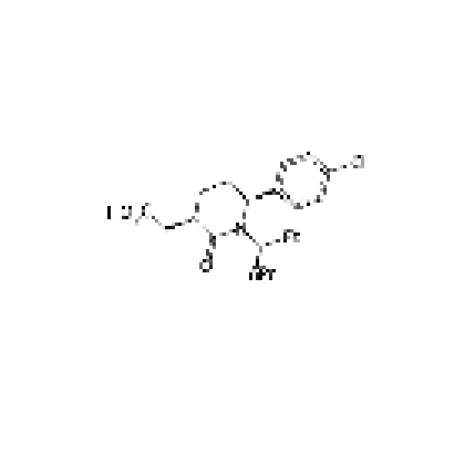 CCC[C@H](CC)N1C(=O)[C@@H](CC(=O)O)CC[C@H]1c1ccc(Cl)cc1